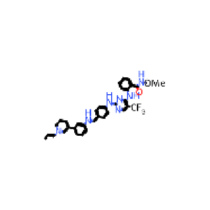 CC=CN1CCCC(c2cccc(NCc3ccc(Nc4ncc(C(F)(F)F)c(Nc5ccccc5C(=O)NOC)n4)cc3)c2)C1